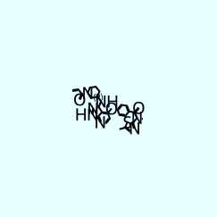 C=CC(=O)N1CCC[C@@H](Nc2n[nH]c3nccc(Oc4ccc(C(=O)N(C)c5ncc(C)s5)cc4)c23)C1